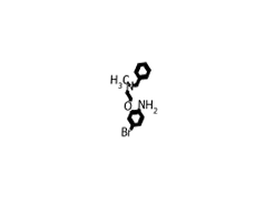 CN(CCOc1cc(Br)ccc1N)Cc1ccccc1